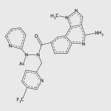 CC(=O)N(c1ccccn1)N(Cc1ccc(C(F)(F)F)cn1)C(=O)c1ccc2nc(N)c3cnn(C)c3c2c1